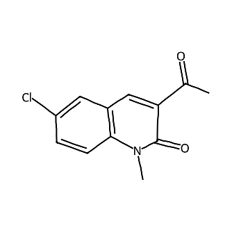 CC(=O)c1cc2cc(Cl)ccc2n(C)c1=O